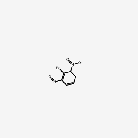 O=NC1=C(Br)C([N+](=O)[O-])CC=C1